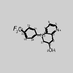 OC1Cc2ncccc2N(c2ccc(C(F)(F)F)cc2)C1